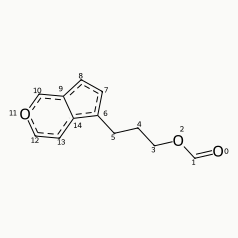 O=COCCCc1ccc2coccc1-2